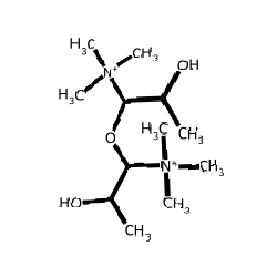 CC(O)C(OC(C(C)O)[N+](C)(C)C)[N+](C)(C)C